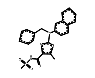 Cc1sc(N(Cc2ccccc2)c2ccc3ccccc3c2)nc1C(=O)NS(C)(=O)=O